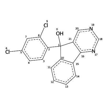 OC1(c2ccc(Cl)cc2Cl)c2ccccc2-c2ncncc21